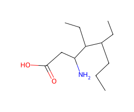 CCCC(CC)C(CC)C(N)CC(=O)O